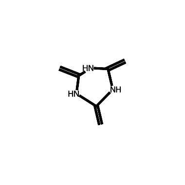 C=C1NC(=C)NC(=C)N1